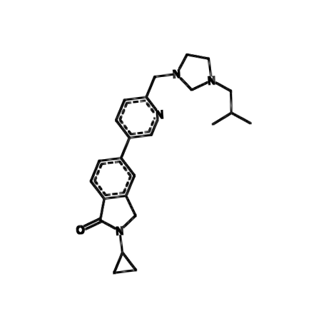 CC(C)CN1CCN(Cc2ccc(-c3ccc4c(c3)CN(C3CC3)C4=O)cn2)C1